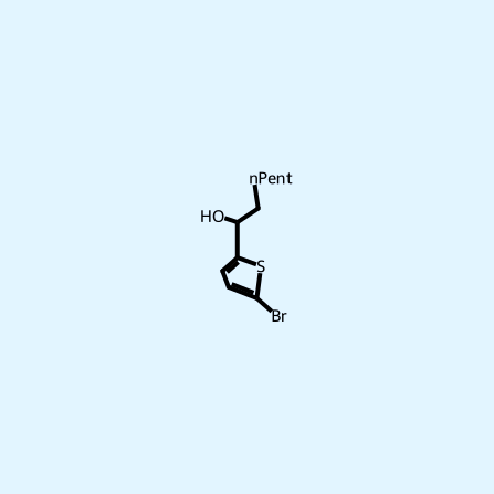 CCCCCCC(O)c1ccc(Br)s1